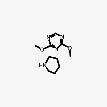 C1CCNCC1.COc1ncnc(OC)n1